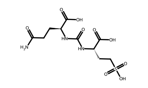 NC(=O)CC[C@H](NC(=O)N[C@@H](CCS(=O)(=O)O)C(=O)O)C(=O)O